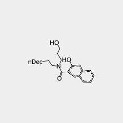 CCCCCCCCCCCCN(CCCO)C(=O)c1cc2ccccc2cc1O